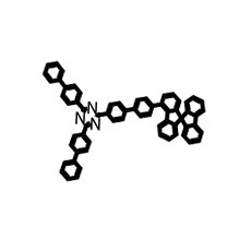 c1ccc(-c2ccc(-c3nc(-c4ccc(-c5ccccc5)cc4)nc(-c4ccc(-c5ccc(-c6cccc7c6-c6ccccc6C76c7ccccc7-c7ccccc76)cc5)cc4)n3)cc2)cc1